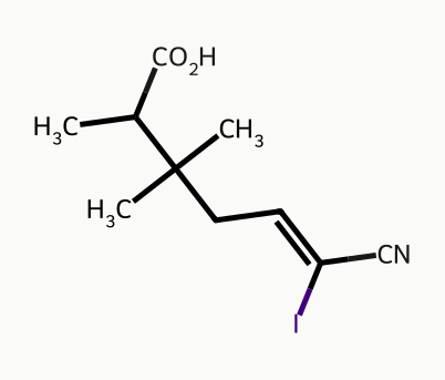 CC(C(=O)O)C(C)(C)C/C=C(\I)C#N